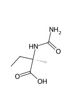 CC[C@@](C)(NC(N)=O)C(=O)O